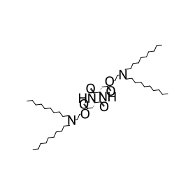 CCCCCCCCCCN(CCCCCCCCCC)CCOC(=O)C[C@@H]1NC(=O)[C@H](CC(=O)OCCN(CCCCCCCCCC)CCCCCCCCCC)NC1=O